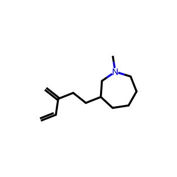 C=CC(=C)CCC1CCCCN(C)C1